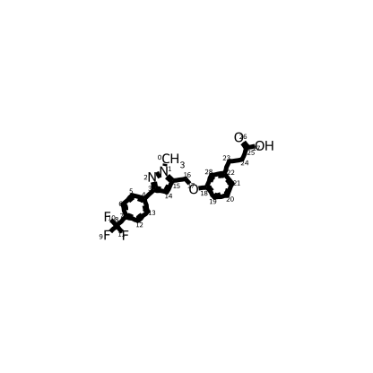 Cn1nc(-c2ccc(C(F)(F)F)cc2)cc1COc1cccc(CCC(=O)O)c1